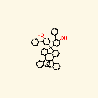 Oc1ccc(C2(c3ccc(O)c(-c4ccccc4)c3)c3cccc(-c4cccc5ccccc45)c3-c3c(-c4cccc5ccccc45)cccc32)cc1-c1ccccc1